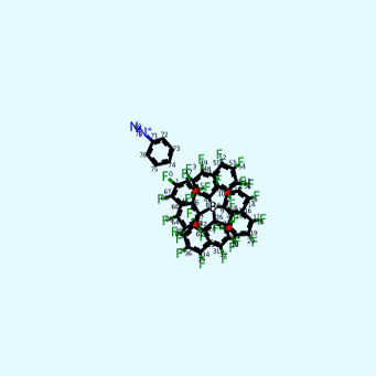 Fc1c(F)c(F)c2c([B-](c3c(F)c(F)c(F)c4c(F)c(F)c(F)c(F)c34)(c3c(F)c(F)c(F)c4c(F)c(F)c(F)c(F)c34)c3c(F)c(F)c(F)c4c(F)c(F)c(F)c(F)c34)c(F)c(F)c(F)c2c1F.N#[N+]c1ccccc1